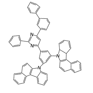 C1=CC2c3c(ccc4ccccc34)N(c3cc(-c4cc(-c5cccc(-c6ccccc6)c5)nc(-c5ccccc5)n4)cc(-n4c5ccccc5c5c6ccccc6ccc54)c3)C2C=C1